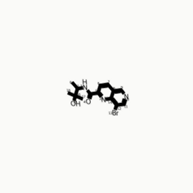 CC(NC(=O)c1ccc2cncc(Br)c2n1)C(C)(C)O